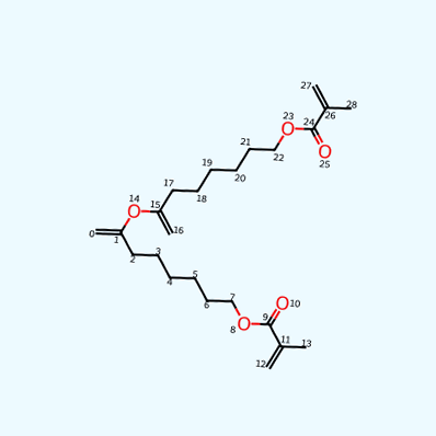 C=C(CCCCCCOC(=O)C(=C)C)OC(=C)CCCCCCOC(=O)C(=C)C